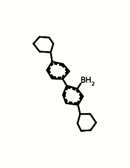 Bc1cc(C2CCCCC2)ccc1-c1ccc(C2CCCCC2)cc1